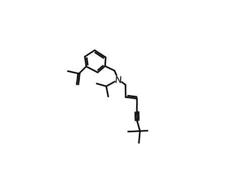 C=C(C)c1cccc(CN(C/C=C/C#CC(C)(C)C)C(C)C)c1